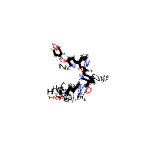 COc1cc(C(=O)N(C)CCCC(C)(C)[Si](C)(C)O)cnc1-c1cc2nccc(-c3ccc(OC4CCOCC4)c(C#N)n3)c2o1